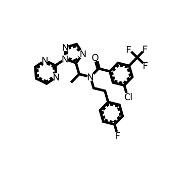 CC(c1ncnn1-c1ncccn1)N(CCc1ccc(F)cc1)C(=O)c1cc(Cl)cc(C(F)(F)F)c1